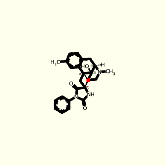 Cc1ccc2c(c1)[C@]13CCN(C)[C@H](C2)[C@]1(O)CC[C@@]1(C3)NC(=O)N(c2ccccc2)C1=O